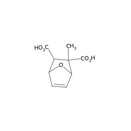 CC1(C(=O)O)C2C=CC(O2)C1C(=O)O